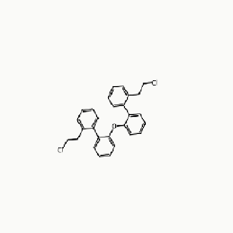 ClCCc1ccccc1-c1ccccc1Oc1ccccc1-c1ccccc1CCCl